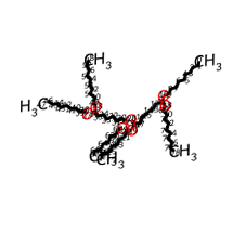 CCCCCCCCCCOC(CCCCC=CC(OCCCCCCCC)OC(C=CCCCCC(OCCCCCCCCCC)OCCCCCCCCCC)OCCCCCCCC)OCCCCCCCCCC